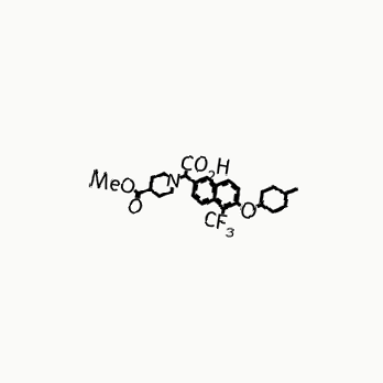 COC(=O)C1CCN(C(C(=O)O)c2ccc3c(C(F)(F)F)c(OC4CCC(C)CC4)ccc3c2)CC1